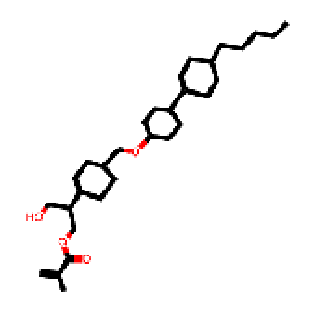 C=C(C)C(=O)OCC(CO)C1CCC(COC2CCC(C3CCC(CCCCC)CC3)CC2)CC1